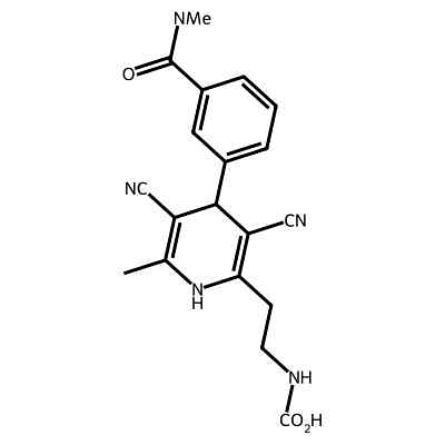 CNC(=O)c1cccc(C2C(C#N)=C(C)NC(CCNC(=O)O)=C2C#N)c1